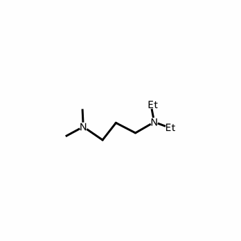 CCN(CC)CCCN(C)C